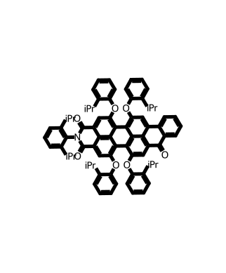 CC(C)c1ccccc1Oc1cc2c3c(cc(Oc4ccccc4C(C)C)c4c5c(Oc6ccccc6C(C)C)cc6c7c(cc(Oc8ccccc8C(C)C)c(c1c34)c75)C(=O)c1ccccc1-6)C(=O)N(c1c(C(C)C)cccc1C(C)C)C2=O